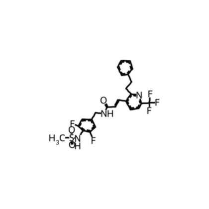 CS(=O)(=O)Nc1c(F)cc(CNC(=O)/C=C/c2ccc(C(F)(F)F)nc2CCc2ccccc2)cc1F